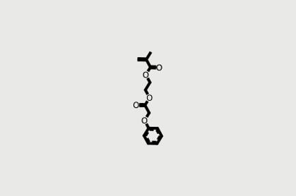 C=C(C)C(=O)OCCOC(=O)COc1ccccc1